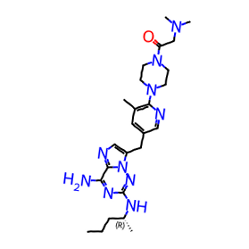 CCC[C@@H](C)Nc1nc(N)c2ncc(Cc3cnc(N4CCN(C(=O)CN(C)C)CC4)c(C)c3)n2n1